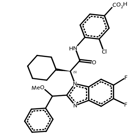 COC(c1ccccc1)c1nc2cc(F)c(F)cc2n1[C@H](C(=O)Nc1ccc(C(=O)O)cc1Cl)C1CCCCC1